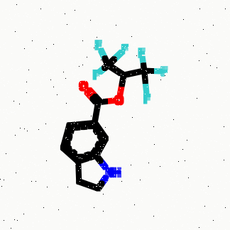 O=C(OC(C(F)(F)F)C(F)(F)F)c1ccc2c(c1)NCC2